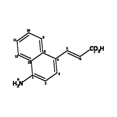 Nc1ccc(C=CC(=O)O)c2ccccc12